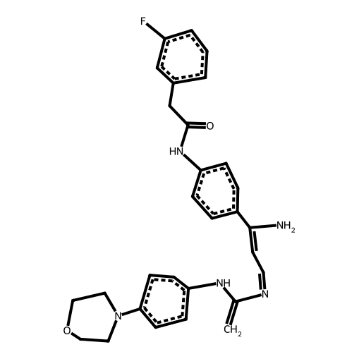 C=C(/N=C\C=C(/N)c1ccc(NC(=O)Cc2cccc(F)c2)cc1)Nc1ccc(N2CCOCC2)cc1